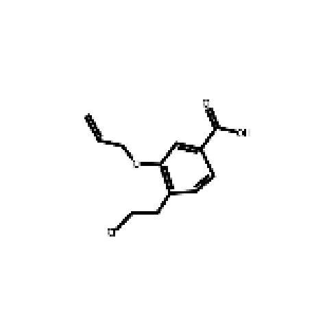 C=CCOc1cc(C(=O)O)ccc1CCCl